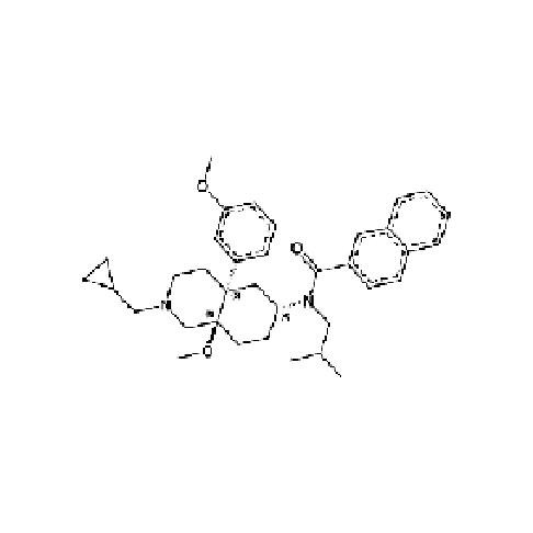 COc1cccc([C@@]23CCN(CC4CC4)C[C@@]2(OC)CC[C@@H](N(CC(C)C)C(=O)c2ccc4ccccc4c2)C3)c1